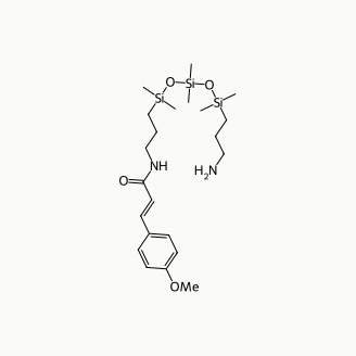 COc1ccc(/C=C/C(=O)NCCC[Si](C)(C)O[Si](C)(C)O[Si](C)(C)CCCN)cc1